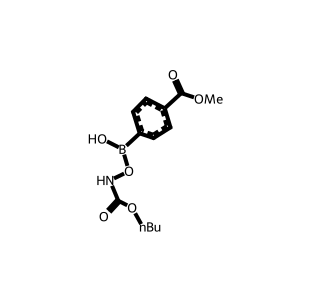 CCCCOC(=O)NOB(O)c1ccc(C(=O)OC)cc1